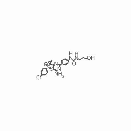 Nc1cc(C2(S(=O)(=O)c3ccc(Cl)cc3)CC2)nc(-c2ccc(NC(=O)NCCCO)cc2)n1